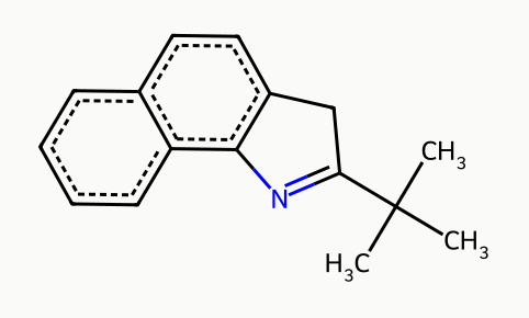 CC(C)(C)C1=Nc2c(ccc3ccccc23)C1